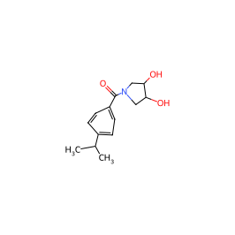 CC(C)c1ccc(C(=O)N2CC(O)C(O)C2)cc1